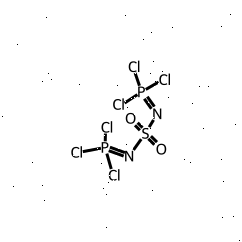 O=S(=O)(N=P(Cl)(Cl)Cl)N=P(Cl)(Cl)Cl